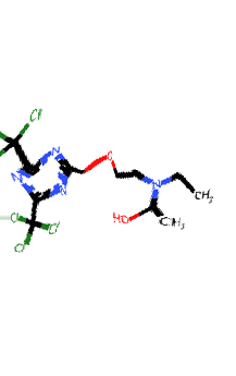 CCN(CCOc1nc(C(Cl)(Cl)Cl)nc(C(Cl)(Cl)Cl)n1)C(C)O